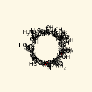 CCCC[C@H]1C(=O)N(C)[C@@H](CCCC)C(=O)N[C@@H](CC(C)C)C(=O)N[C@H](C(=O)NCC(N)=O)CSCC(=O)N[C@@H](Cc2ccc(O)cc2)C(=O)N2CCCC[C@H]2C(=O)N[C@@H](CC(=O)O)C(=O)N2CCC[C@H]2C(=O)N[C@@H](Cc2cnc[nH]2)C(=O)N[C@@H](CCC(N)=O)C(=O)N2C[C@H](O)C[C@H]2C(=O)N[C@@H](Cc2c[nH]c3ccccc23)C(=O)N[C@@H](CO)C(=O)N[C@@H](Cc2cn(CC(=O)O)c3ccccc23)C(=O)N1C